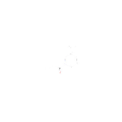 CC(=O)N[C@@H]1CCCN(C(=O)OC(C)(C)C)C1